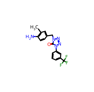 Cc1cc(Cn2nnn(-c3cccc(C(F)(F)F)c3)c2=O)ccc1N